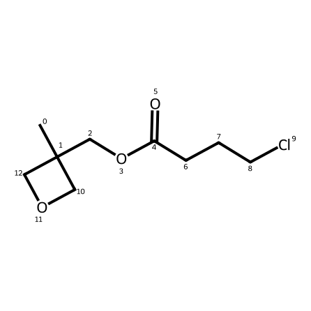 CC1(COC(=O)CCCCl)COC1